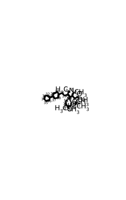 Cc1nc(C)c([C@H](OC(C)(C)C)C(=O)O)c(N2CCC(C)(C)CC2)c1CCc1ccc(-c2ccccc2)cc1